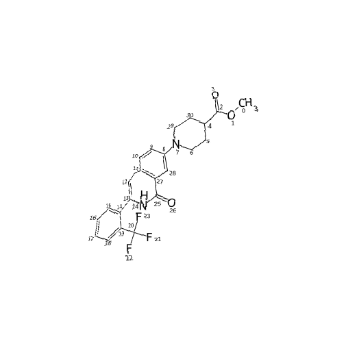 COC(=O)C1CCN(c2ccc3cc(-c4ccccc4C(F)(F)F)[nH]c(=O)c3c2)CC1